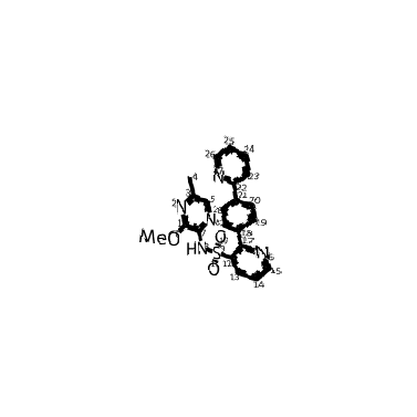 COc1nc(C)cnc1NS(=O)(=O)c1cccnc1-c1ccc(-c2ccccn2)cc1